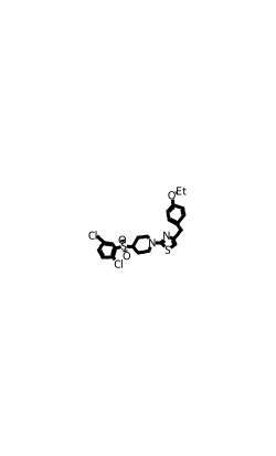 CCOc1ccc(Cc2csc(N3CCC(S(=O)(=O)c4cc(Cl)ccc4Cl)CC3)n2)cc1